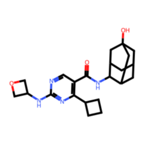 O=C(NC1C2CC3CC1CC(O)(C3)C2)c1cnc(NC2COC2)nc1C1CCC1